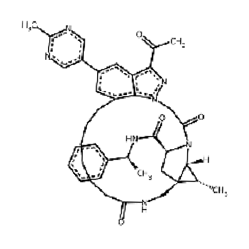 CC(=O)c1nn2c3c(cc(-c4cnc(C)nc4)cc13)CCCCCCC(=O)NC[C@@]13C[C@@H](C(=O)N[C@@H](C)c4ccccc4)N(C(=O)C2)[C@@H]1[C@@H]3C